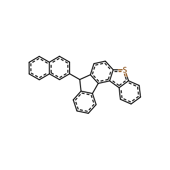 c1ccc2c(c1)-c1c(ccc3sc4ccccc4c13)C2c1ccc2ccccc2c1